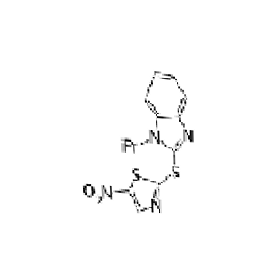 CC(C)n1c(Sc2ncc([N+](=O)[O-])s2)nc2ccccc21